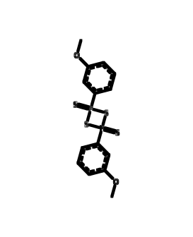 COc1cccc(P2(=S)SP(=S)(c3cccc(OC)c3)S2)c1